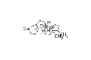 CC1CC[C@H]2[C@@H]3CCC4=CC(=O)CC[C@]4(C)[C@H]3CCC12C